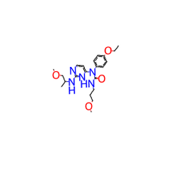 CCOc1ccc(N(C(=O)NCCCOC)c2ccnc(NC(C)COC)n2)cc1